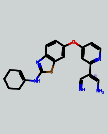 N=C/C(=C\N)c1cc(Oc2ccc3nc(NC4=CCCCC4)sc3c2)ccn1